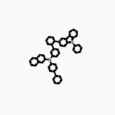 c1ccc(-c2ccc(N(c3cccc(-c4ccccc4-c4ccc5c(c4)c4ccccc4n5-c4ccccc4)c3)c3ccc4ccccc4c3)cc2)cc1